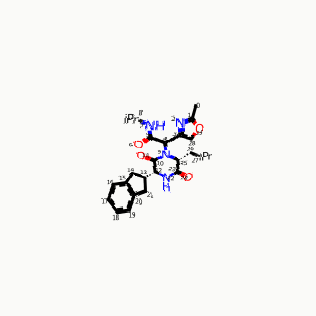 Cc1nc(C(C(=O)NC(C)C)N2C(=O)[C@@H](C3Cc4ccccc4C3)NC(=O)[C@H]2CC(C)C)co1